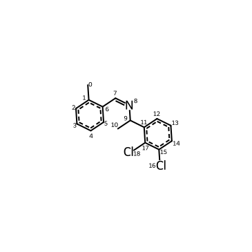 Cc1ccccc1/C=N\C(C)c1cccc(Cl)c1Cl